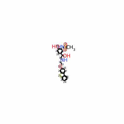 CS(=O)(=O)Nc1cc(C(O)CNCCOc2ccc3c(c2)sc2ccccc23)ccc1O